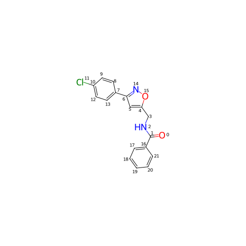 O=C(NCc1cc(-c2ccc(Cl)cc2)no1)c1ccccc1